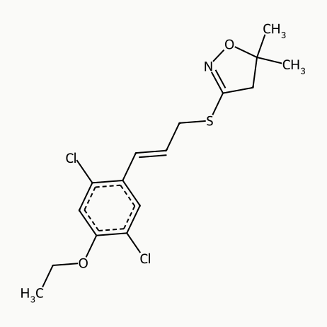 CCOc1cc(Cl)c(C=CCSC2=NOC(C)(C)C2)cc1Cl